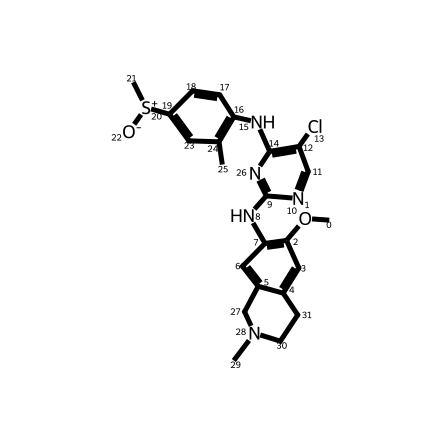 COc1cc2c(cc1Nc1ncc(Cl)c(Nc3ccc([S+](C)[O-])cc3C)n1)CN(C)CC2